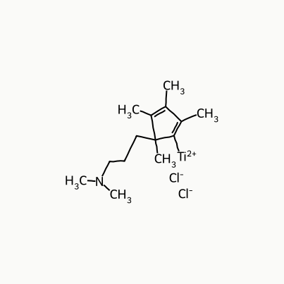 CC1=C(C)C(C)(CCCN(C)C)[C]([Ti+2])=C1C.[Cl-].[Cl-]